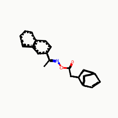 C/C(=N\OC(=O)CC1CC2C=CC1C2)c1ccc2ccccc2c1